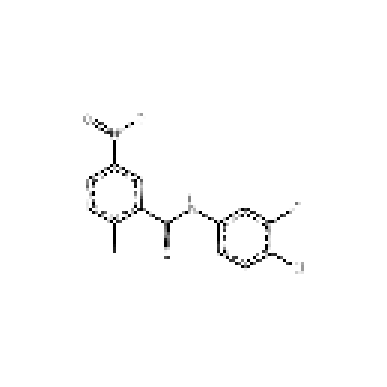 Cc1ccc([N+](=O)[O-])cc1C(=O)Nc1ccc(Cl)c(F)c1